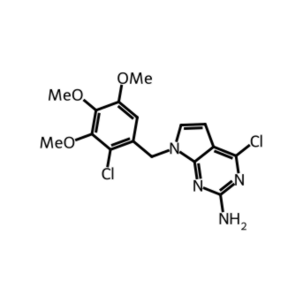 COc1cc(Cn2ccc3c(Cl)nc(N)nc32)c(Cl)c(OC)c1OC